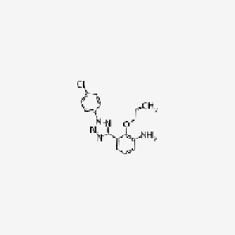 C=CCOc1c(N)cccc1-c1nnn(-c2ccc(Cl)cc2)n1